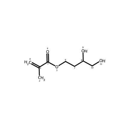 C=C(C)C(=O)OCCC(O)CO